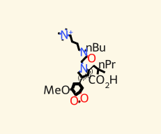 CCCCN(CCCC[N+](C)(C)C)C(=O)CN1C[C@H](c2cc(OC)c3c(c2)OCO3)[C@@H](C(=O)O)[C@@H]1CC(C)(C)CCC